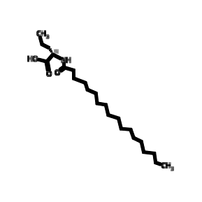 CCCCCCCCCCCCCCCCCC(=O)N[C@@H](CCC)C(=O)O